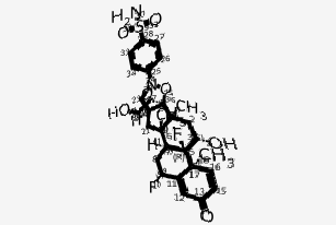 C[C@]12C[C@H](O)[C@@]3(F)[C@@H](C[C@H](F)C4=CC(=O)C=C[C@@]43C)[C@]1(C)C[C@H]1CN(c3ccc(S(N)(=O)=O)cc3)O[C@]12C(=O)CO